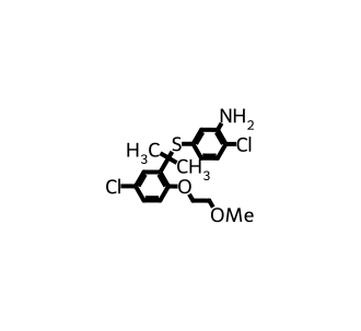 COCCOc1ccc(Cl)cc1C(C)(C)Sc1ccc(Cl)c(N)c1